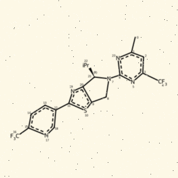 Cc1cc(C(F)(F)F)nc(N2Cc3sc(-c4ccc(C(F)(F)F)nc4)nc3[C@H]2C(C)C)n1